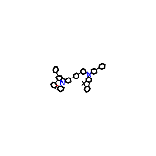 CC1(C)c2ccccc2-c2ccc(N(c3ccc(-c4ccccc4)cc3)c3cccc(-c4ccc(-c5ccc6c(c5)c5cc(-c7ccccc7)cc(-c7ccccc7)c5n6-c5ccccc5)cc4)c3)cc21